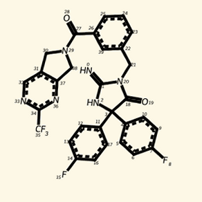 N=C1NC(c2ccc(F)cc2)(c2ccc(F)cc2)C(=O)N1Cc1cccc(C(=O)N2Cc3cnc(C(F)(F)F)nc3C2)c1